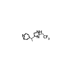 CC(c1ccncc1)c1c[nH]c(CC(F)(F)F)n1